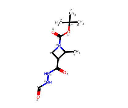 CC1C(C(=O)NNC=O)CN1C(=O)OC(C)(C)C